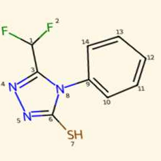 FC(F)c1nnc(S)n1-c1ccccc1